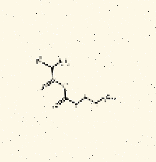 CCCCCCCCCCCC(=O)OC(=O)C(N)C(C)C